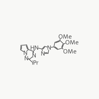 COc1cc(-n2cnc(Nc3nc(C(C)C)nn4cccc34)c2)cc(OC)c1OC